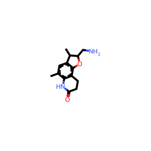 Cc1cc2c(c3c1NC(=O)CC3)OC(CN)C2C